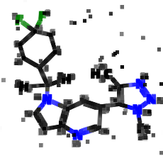 [2H]C([2H])(C1CCC(F)(F)CC1)n1ccc2ncc(-c3c(C)nnn3CC)cc21